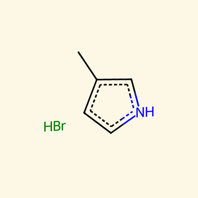 Br.Cc1cc[nH]c1